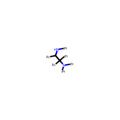 CC(=O)C(NC(C)C)C(C(C)=O)(C(C)C)N(C(C)C)C(C)C